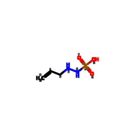 C=CCNNS(=O)(=O)O